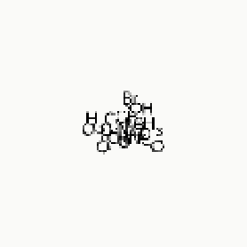 CO[C@@]1(NC(=O)Cc2ccccc2)C(=O)N(C(C(=O)OC(c2ccccc2)c2ccccc2)=C(C)C)[C@@H]1OCC(O)CBr